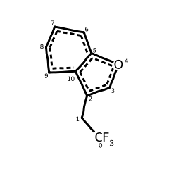 FC(F)(F)Cc1coc2ccccc12